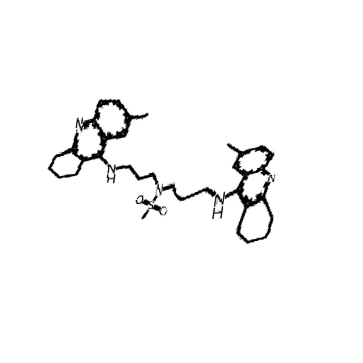 Cc1ccc2nc3c(c(NCCCN(CCCNc4c5c(nc6ccc(C)cc46)CCCC5)S(C)(=O)=O)c2c1)CCCC3